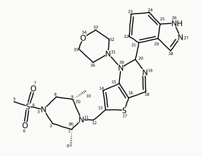 C[C@@H]1CN(S(C)(=O)=O)C[C@H](C)N1Cc1cc2c(s1)C=NC(c1cccc3[nH]ncc13)N2N1CCOCC1